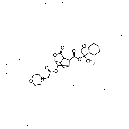 CCC(C)(OC(=O)C1C2CC3C(OC(=O)C31)C2OC(=O)CN1CCOCC1)C1CCCCC1